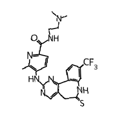 Cc1nc(C(=O)NCCN(C)C)ccc1Nc1ncc2c(n1)-c1ccc(C(F)(F)F)cc1NC(=S)C2